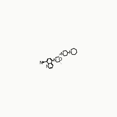 C[C@@H]1CN(c2ccc(C#N)c3ncccc23)C[C@H](CN2CCC(N3CCCCCC3)CC2)O1